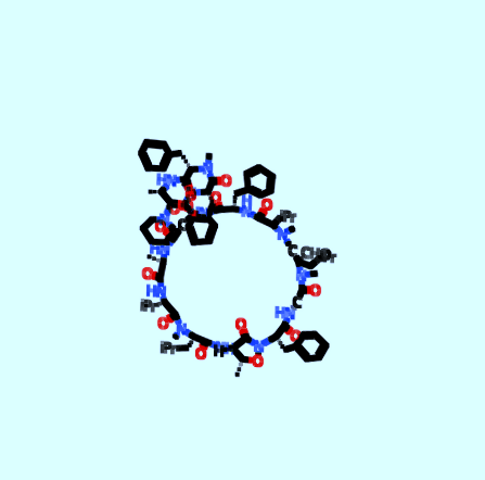 CC(C)C[C@H]1C(=O)N[C@@H]2C(=O)N(O[C@@H]2C)[C@@H](Cc2ccccc2)C(=O)NCC(=O)N(C)[C@@](C=O)(CC(C)C)CN(C)C(C(C)C)C(=O)N[C@@H](Cc2ccccc2)C(=O)NC(C(=O)N(C)[C@@H](Cc2ccccc2)C(=O)N(C)[C@@H](Cc2ccccc2)C(=O)N[C@@H](C)C(=O)N2CCCCC2)CC(=O)N[C@@H](C)C(=O)N[C@@H](C(C)C)C(=O)N1C